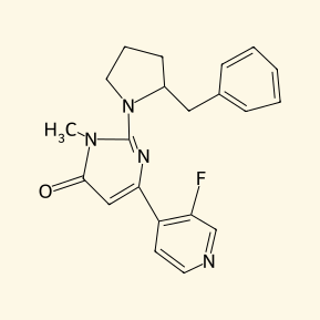 Cn1c(N2CCCC2Cc2ccccc2)nc(-c2ccncc2F)cc1=O